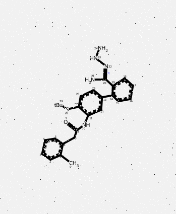 Cc1ccccc1CC(=O)Nc1cc(-c2ccccc2/C(N)=N/NN)ccc1SC(C)(C)C